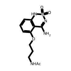 CC(=O)NCCCOc1cccc2c1C(N)=NS(=O)(=O)N2